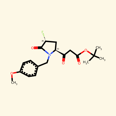 COc1ccc(CN2C(=O)[C@H](F)C[C@H]2C(=O)CC(=O)OC(C)(C)C)cc1